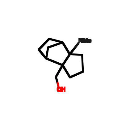 CNC12CCCC1(CO)C1CCC2C1